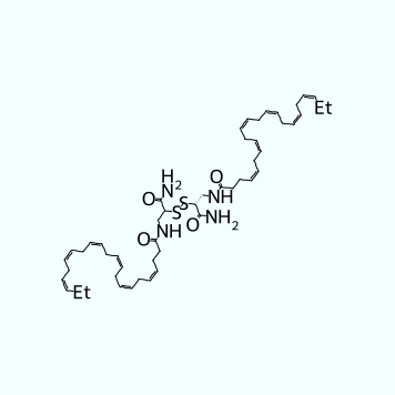 CC/C=C\C/C=C\C/C=C\C/C=C\C/C=C\C/C=C\CCC(=O)NCC(SS[C@H](CNC(=O)CC/C=C\C/C=C\C/C=C\C/C=C\C/C=C\C/C=C\CC)C(N)=O)C(N)=O